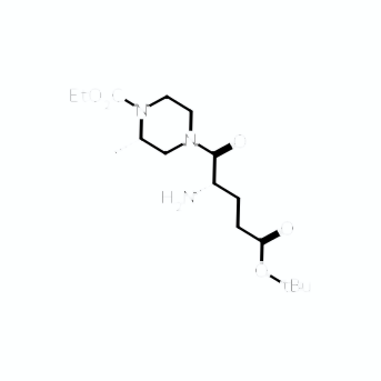 CCOC(=O)N1CCN(C(=O)[C@@H](N)CCC(=O)OC(C)(C)C)C[C@@H]1C